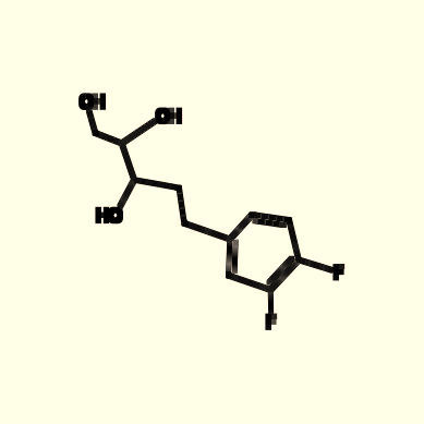 OCC(O)C(O)CCc1ccc(F)c(F)c1